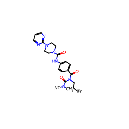 CC(C)CCN(C(=O)c1ccc(NC(=O)N2CCN(c3ncccn3)CC2)cc1)C(=O)N(C)C#N